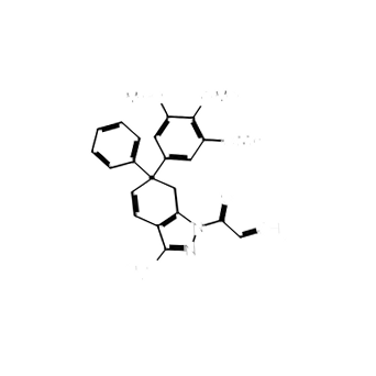 C=CC(=O)n1nc(C(=O)O)c2c1CC(c1ccccc1)(c1cc(OC)c(OC)c(OC)c1)C=C2